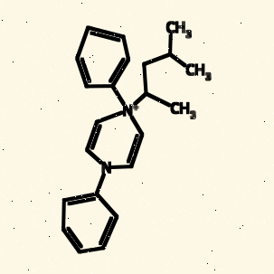 CC(C)CC(C)[N+]1(c2ccccc2)C=CN(c2ccccc2)C=C1